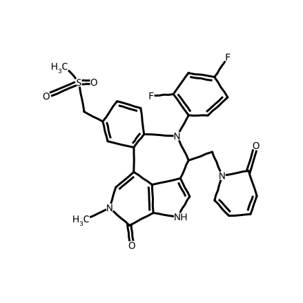 Cn1cc2c3c(c[nH]c3c1=O)C(Cn1ccccc1=O)N(c1ccc(F)cc1F)c1ccc(CS(C)(=O)=O)cc1-2